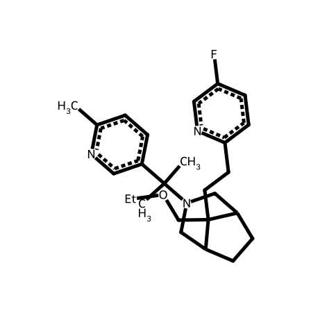 CCOCC1(CCc2ccc(F)cn2)C2CCC1CN(C(C)(C)c1ccc(C)nc1)C2